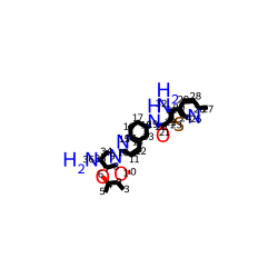 COC(C)C(C)OC1CN(c2ccc3c(n2)CCC(NC(=O)c2sc4nc(C)ccc4c2N)C3)CC1N